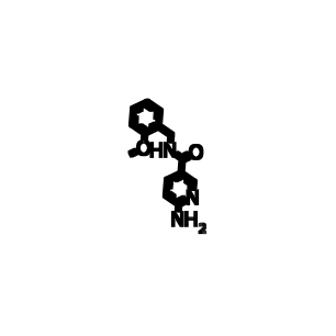 COc1ccccc1CNC(=O)c1ccc(N)nc1